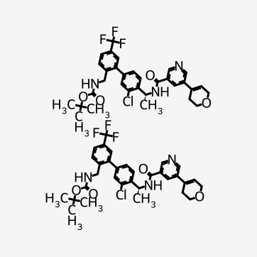 C[C@@H](NC(=O)c1cncc(C2=CCOCC2)c1)c1ccc(-c2cc(C(F)(F)F)ccc2CNC(=O)OC(C)(C)C)cc1Cl.C[C@@H](NC(=O)c1cncc(C2=CCOCC2)c1)c1ccc(-c2cc(C(F)(F)F)ccc2CNC(=O)OC(C)(C)C)cc1Cl